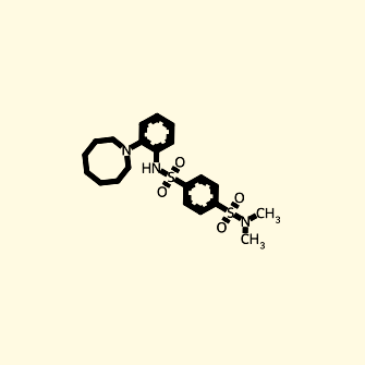 CN(C)S(=O)(=O)c1ccc(S(=O)(=O)Nc2ccccc2N2CCCCCCC2)cc1